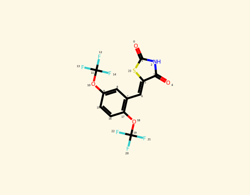 O=C1NC(=O)/C(=C/c2cc(OC(F)(F)F)ccc2OC(F)(F)F)S1